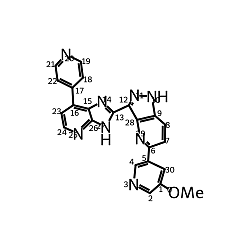 COc1cncc(-c2ccc3[nH]nc(-c4nc5c(-c6ccncc6)ccnc5[nH]4)c3n2)c1